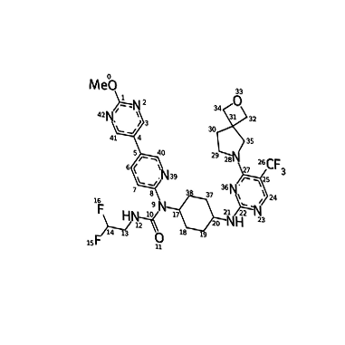 COc1ncc(-c2ccc(N(C(=O)NCC(F)F)C3CCC(Nc4ncc(C(F)(F)F)c(N5CCC6(COC6)C5)n4)CC3)nc2)cn1